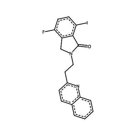 O=C1c2c(I)ccc(F)c2CN1CCc1ccc2ccccc2n1